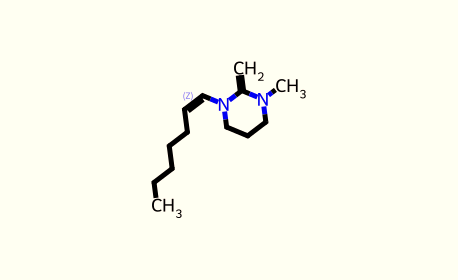 C=C1N(C)CCCN1/C=C\CCCCC